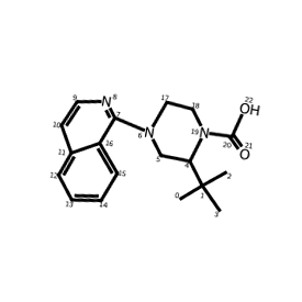 CC(C)(C)C1CN(c2nccc3ccccc23)CCN1C(=O)O